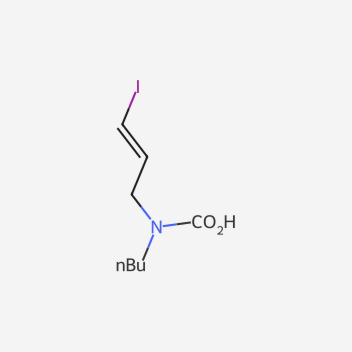 CCCCN(CC=CI)C(=O)O